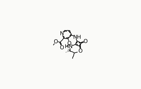 COC(=O)c1nccc(Nc2c(N[C@@H](C)C(C)C)c(=O)c2=O)c1OC